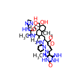 C=C1C(NC(C)C(=O)NC2=NCC=N2)CC2[C@](C)(CC[C@@H](O)[C@@]2(C)CO)C1CC(Nc1ccccn1)C1=C/C(=C\c2nn(C)c3[nH]c(=O)[nH]c(=N)c23)OC1=O